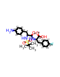 CC(C)(C)S(=O)(=O)NC(Cc1ccc(N)cc1)C(=O)NC(Cc1ccc(F)cc1)C(=O)O